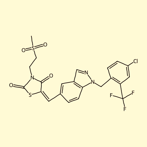 CS(=O)(=O)CCN1C(=O)SC(=Cc2ccc3c(cnn3Cc3ccc(Cl)cc3C(F)(F)F)c2)C1=O